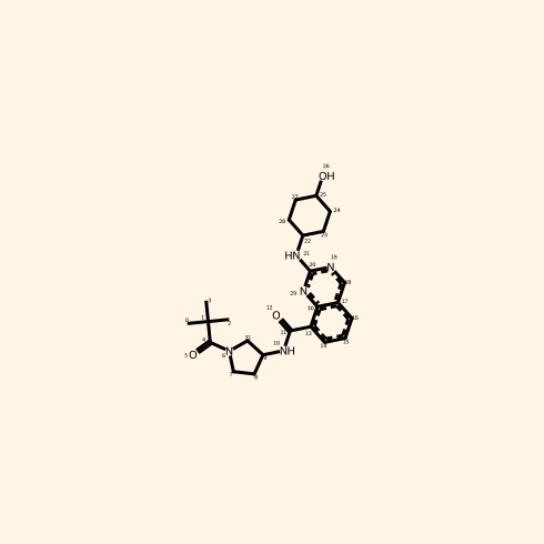 CC(C)(C)C(=O)N1CCC(NC(=O)c2cccc3cnc(NC4CCC(O)CC4)nc23)C1